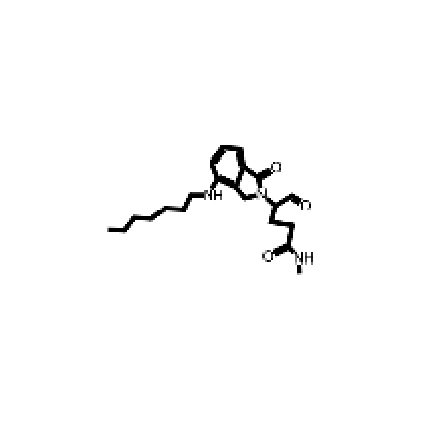 CCCCCCCNc1cccc2c1CN(C(C=O)CCC(=O)NC)C2=O